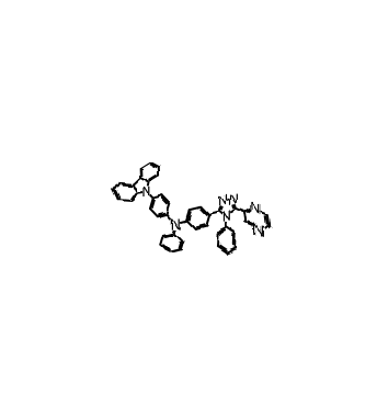 c1ccc(N(c2ccc(-c3nnc(-c4cnccn4)n3-c3ccccc3)cc2)c2ccc(-n3c4ccccc4c4ccccc43)cc2)cc1